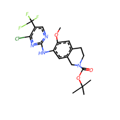 COc1cc2c(cc1Nc1ncc(C(F)(F)F)c(Cl)n1)CN(C(=O)OC(C)(C)C)CC2